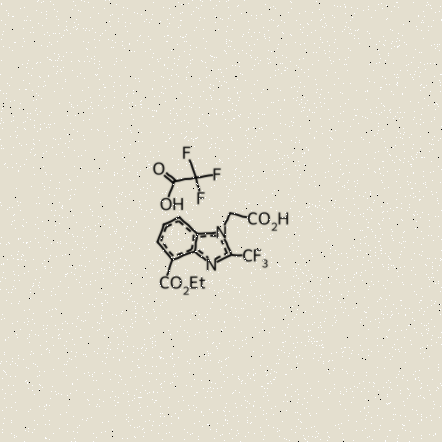 CCOC(=O)c1cccc2c1nc(C(F)(F)F)n2CC(=O)O.O=C(O)C(F)(F)F